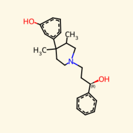 CC1CN(CC[C@@H](O)c2ccccc2)CCC1(C)c1cccc(O)c1